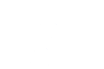 CC1CN(c2cccc3c2CCN3C(=O)OC(C)(C)C)CC(C)O1